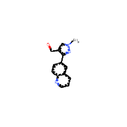 Cn1cc(C=O)c(-c2ccc3ncccc3c2)n1